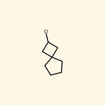 ClC1CC2(CCCC2)C1